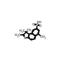 CC1=Nc2ccc3c(C)cc(S(=O)(=O)O)cc3c2C1(C)C